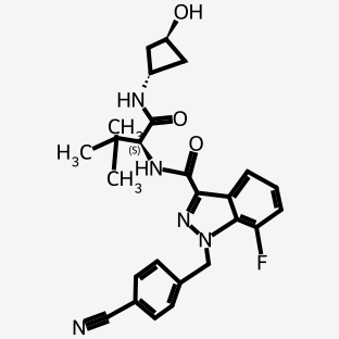 CC(C)(C)[C@H](NC(=O)c1nn(Cc2ccc(C#N)cc2)c2c(F)cccc12)C(=O)N[C@H]1C[C@H](O)C1